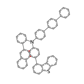 c1ccc(-c2ccc(-c3ccc(N(c4ccc(-c5cccc6sc7ccccc7c56)cc4)c4ccccc4-c4ccc5ccccc5c4)cc3)cc2)cc1